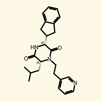 CC(C)C[C@@H]1C(=O)N[C@H](C2Cc3ccccc3C2)C(=O)N1CCc1cccnc1